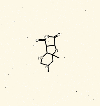 C[C@H]1CNC2C3C(=O)NC(=O)C3OC2(C)C1